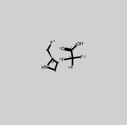 FC[C@H]1CCN1.O=C(O)C(F)(F)F